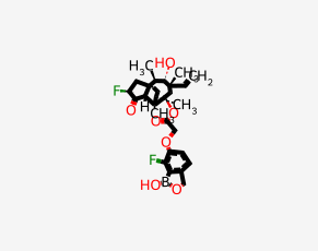 C=C[C@]1(C)C[C@@H](OC(=O)COc2ccc3c(c2F)B(O)OC3)[C@]2(C)[C@H](C)CC[C@]3(C[C@H](F)C(=O)[C@H]32)[C@@H](C)[C@@H]1O